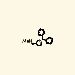 CNCC1CCN(C(c2ccccc2)c2ccccc2)C1